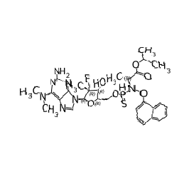 CC(C)OC(=O)[C@@H](C)N(Oc1cccc2ccccc12)[PH](=S)OC[C@H]1O[C@@H](n2cnc3c(N(C)C)nc(N)nc32)[C@](C)(F)[C@@H]1O